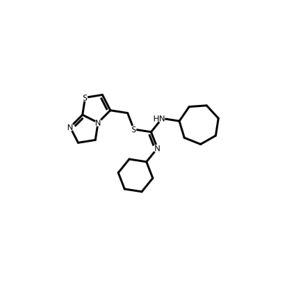 C1=C(CS/C(=N\C2CCCCC2)NC2CCCCCC2)N2CCN=C2S1